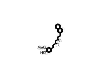 COc1cc(C=CC(=O)CC(=O)C=Cc2ccc3ccccc3c2)ccc1O